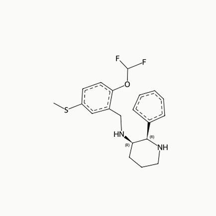 CSc1ccc(OC(F)F)c(CN[C@@H]2CCCN[C@@H]2c2ccccc2)c1